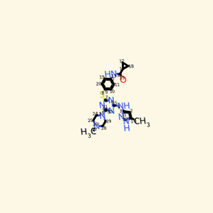 Cc1cc(Nc2nc(Sc3ccc(NC(=O)C4CC4)cc3)nc(N3CCN(C)CC3)n2)n[nH]1